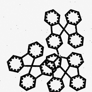 c1ccc2c(c1)-c1ccccc1C21c2ccccc2-c2ccc(N(c3ccc4c(c3)C3(c5ccccc5-c5ccccc53)c3ccccc3-4)c3cccc4c3C3(c5ccccc5-c5ccccc53)c3ccccc3-4)cc21